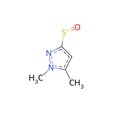 Cc1cc([S+]=O)nn1C